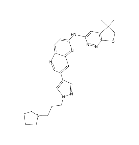 CC1(C)COc2nnc(Nc3ccc4ncc(-c5cnn(CCCN6CCCC6)c5)cc4n3)cc21